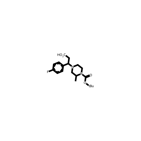 CC1CN(C(CC(=O)O)c2ccc(F)cc2)CCN1C(=O)OC(C)(C)C